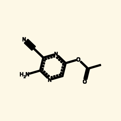 CC(=O)Oc1cnc(N)c(C#N)n1